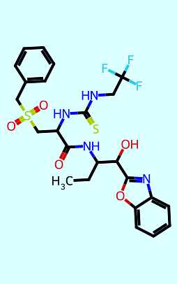 CCC(NC(=O)C(CS(=O)(=O)Cc1ccccc1)NC(=S)NCC(F)(F)F)C(O)c1nc2ccccc2o1